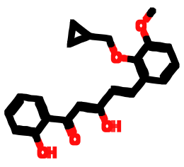 COc1cccc(/C=C/C(O)=C/C(=O)c2ccccc2O)c1OCC1CC1